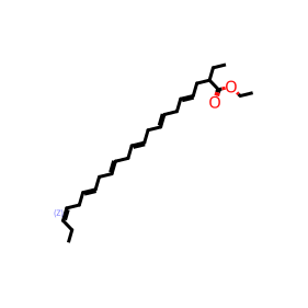 CC/C=C\CC=CCC=CCC=CCC=CCC=CCC(CC)C(=O)OCC